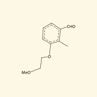 COCCOc1cccc(C=O)c1C